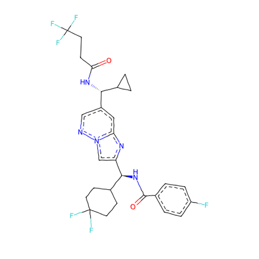 O=C(CCC(F)(F)F)N[C@@H](c1cnn2cc([C@@H](NC(=O)c3ccc(F)cc3)C3CCC(F)(F)CC3)nc2c1)C1CC1